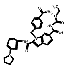 CCOC(=O)NC(=N)c1ccc2cc(C(=O)Nc3cccc(N4CCCC4)c3)n(Cc3ccc(C(N)=O)cc3)c2c1